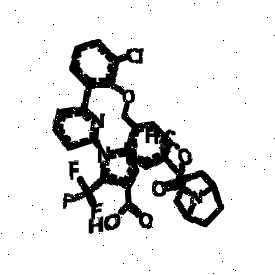 COC(=O)N1C2CCC1CC(c1ccc(COc3c(Cl)cccc3-c3cccc(-n4ncc(C(=O)O)c4C(F)(F)F)n3)cc1)C2